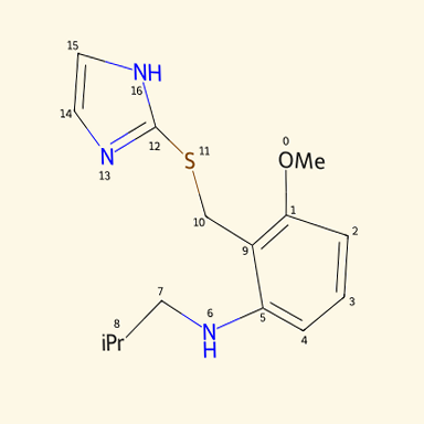 COc1cccc(NCC(C)C)c1CSc1ncc[nH]1